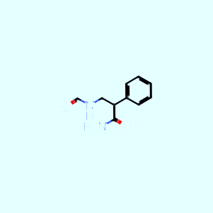 NC(=O)C(CN[C]=O)c1ccccc1